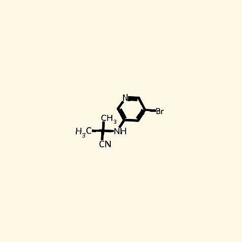 CC(C)(C#N)Nc1cncc(Br)c1